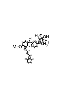 COc1ccc(Nc2nccc(N(C)CC(C)(C)O)n2)cc1OCCCN1CCCC1